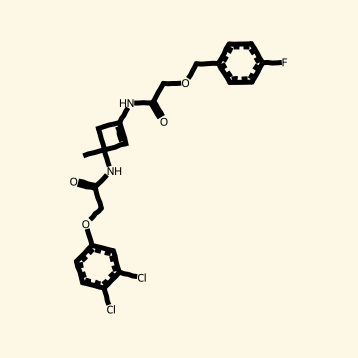 CC1(NC(=O)COc2ccc(Cl)c(Cl)c2)C=C(NC(=O)COCc2ccc(F)cc2)C1